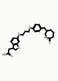 O=C(O)CC1COc2cc(OCCCOc3ccc(CC4CCCC(=O)NC4)cc3)ccc21